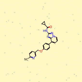 N#Cc1ccc(COc2ccc(-c3cccn4nc(NC(=O)C5CC5)nc34)cc2)cn1